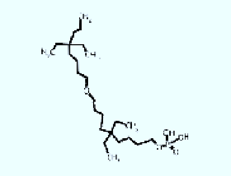 CCCC(CC)(CC)CCCCOCCCCC(CC)(CC)CCCCOP(=O)(O)O